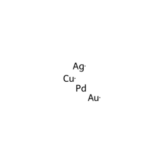 [Ag].[Au].[Cu].[Pd]